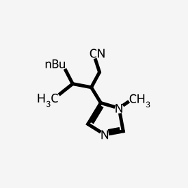 CCCCC(C)C(CC#N)c1cncn1C